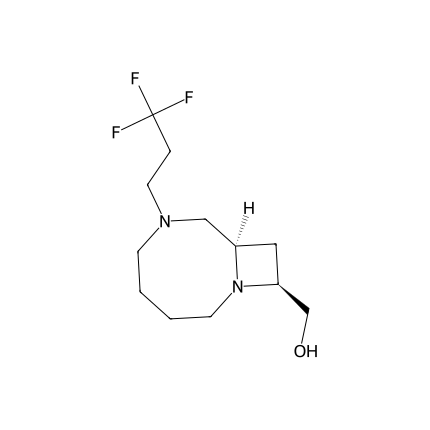 OC[C@@H]1C[C@@H]2CN(CCC(F)(F)F)CCCCN12